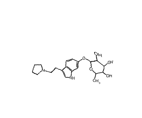 CC1OC(Oc2ccc3c(CCN4CCCC4)c[nH]c3c2)C(O)C(O)C1O